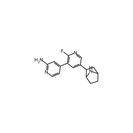 Nc1cc(-c2cc(C3CC4CCC3N4)cnc2F)ccn1